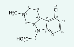 CN1CCc2c(n(CC(=O)O)c3cccc(Cl)c23)C1